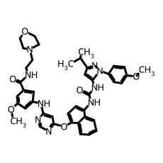 COc1ccc(-n2nc(C(C)C)cc2NC(=O)Nc2ccc(Oc3cc(Nc4cc(OC)cc(C(=O)NCCN5CCOCC5)c4)ncn3)c3ccccc23)cc1